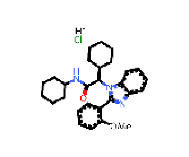 COc1ccccc1-c1nc2ccccc2n1C(C(=O)NC1CCCCC1)C1CCCCC1.[Cl-].[H+]